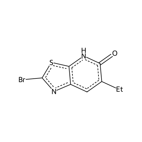 CCc1cc2nc(Br)sc2[nH]c1=O